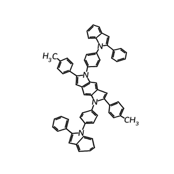 Cc1ccc(-c2cc3cc4c(cc(-c5ccc(C)cc5)n4-c4ccc(-n5c(-c6ccccc6)cc6ccccc65)cc4)cc3n2-c2ccc(-n3c(-c4ccccc4)cc4ccccc43)cc2)cc1